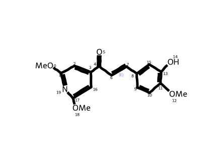 COc1cc(C(=O)/C=C/c2ccc(OC)c(O)c2)cc(OC)n1